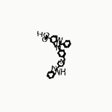 O=C(O)c1ccc2c(c1)=CN(c1ccc(CN3CCC(c4nc5ccccc5[nH]4)CC3)cc1)C(c1ccccc1)N=2